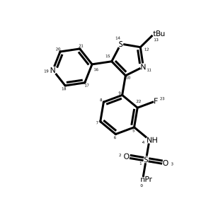 CCCS(=O)(=O)Nc1cccc(-c2nc(C(C)(C)C)sc2-c2ccncc2)c1F